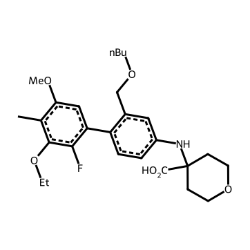 CCCCOCc1cc(NC2(C(=O)O)CCOCC2)ccc1-c1cc(OC)c(C)c(OCC)c1F